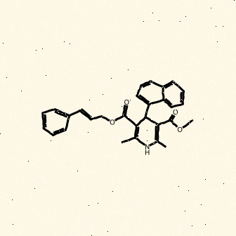 COC(=O)C1=C(C)NC(C)=C(C(=O)OCC=Cc2ccccc2)C1c1cccc2ccccc12